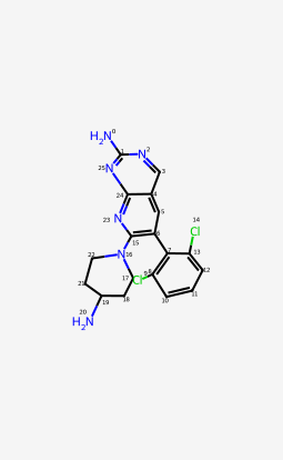 Nc1ncc2cc(-c3c(Cl)cccc3Cl)c(N3CCC(N)CC3)nc2n1